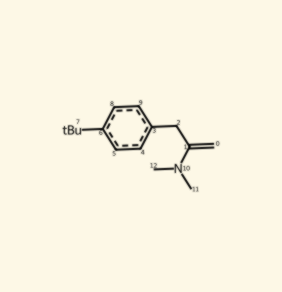 C=C(Cc1ccc(C(C)(C)C)cc1)N(C)C